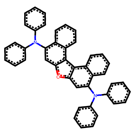 c1ccc(N(c2ccccc2)c2cc3oc4cc(N(c5ccccc5)c5ccccc5)c5ccccc5c4c3c3ccccc23)cc1